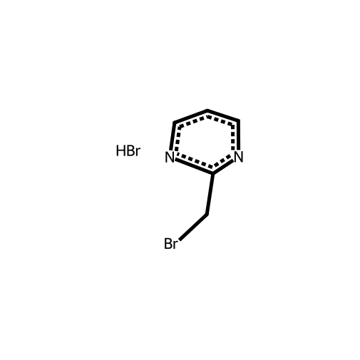 Br.BrCc1ncccn1